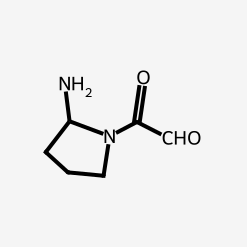 NC1CCCN1C(=O)C=O